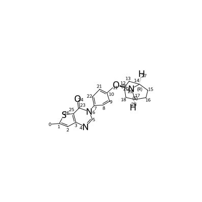 Cc1cc2ncn(-c3ccc(O[C@H]4C[C@H]5CC[C@@H](C4)N5C)cc3)c(=O)c2s1